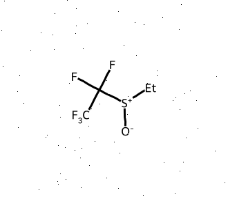 CC[S+]([O-])C(F)(F)C(F)(F)F